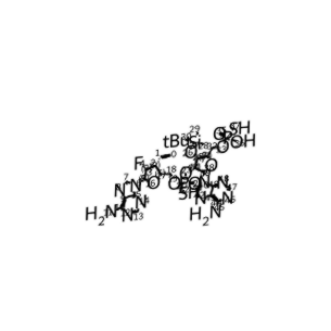 C=C[C@H]1[C@@H](F)[C@H](n2cnc3c(N)ncnc32)O[C@@H]1COP(=O)(S)O[C@@H]1[C@H](O[Si](C)(C)C(C)(C)C)[C@@H](COP(=O)(O)S)O[C@H]1n1cnc2c(N)ncnc21